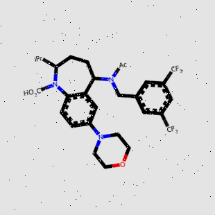 CC(=O)N(Cc1cc(C(F)(F)F)cc(C(F)(F)F)c1)C1CCC(C(C)C)N(C(=O)O)c2ccc(N3CCOCC3)cc21